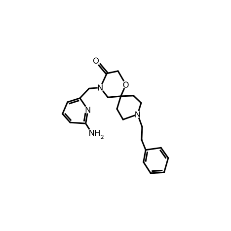 Nc1cccc(CN2CC3(CCN(CCc4ccccc4)CC3)OCC2=O)n1